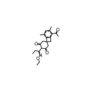 CCON=C(CC)C1C(=O)CC2(CC1=O)Cc1c(C(C)=O)c(C)cc(C)c12